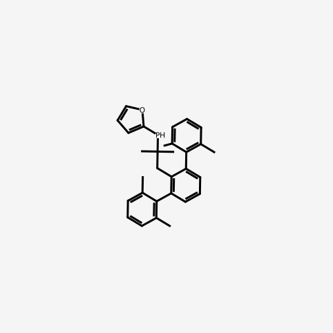 Cc1cccc(C)c1-c1cccc(-c2c(C)cccc2C)c1CC(C)(C)Pc1ccco1